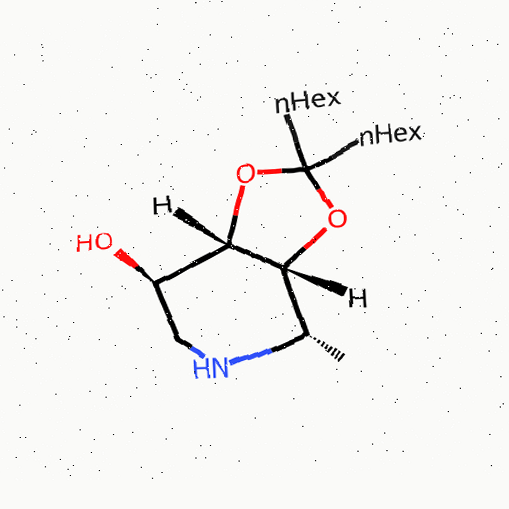 CCCCCCC1(CCCCCC)O[C@@H]2[C@H](O1)[C@H](C)NC[C@H]2O